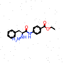 CCOC(=O)c1ccc(NC(=O)[C@H](Cc2ccccc2)NN)cc1